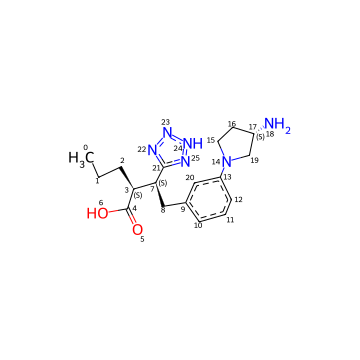 CCC[C@H](C(=O)O)[C@H](Cc1cccc(N2CC[C@H](N)C2)c1)c1nn[nH]n1